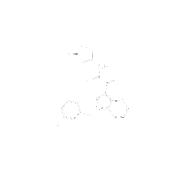 O=C1C=C(NC(=O)C(=O)c2cn(Cc3cccc([N+](=O)[O-])c3)c3ccccc23)CO1